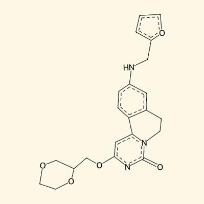 O=c1nc(OCC2COCCO2)cc2n1CCc1cc(NCc3ccco3)ccc1-2